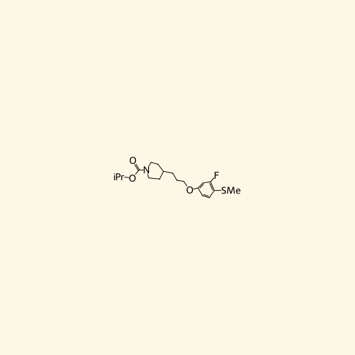 CSc1ccc(OCCCC2CCN(C(=O)OC(C)C)CC2)cc1F